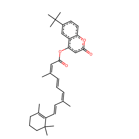 CC(C=CC1=C(C)CCCC1(C)C)=CC=CC(C)=CC(=O)Oc1cc(=O)oc2ccc(C(C)(C)C)cc12